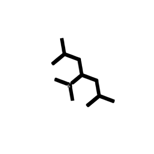 CC(C)CC(CC(C)C)N(C)C